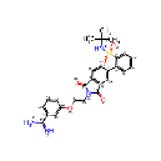 CC(C)(C)NS(=O)(=O)c1ccccc1-c1ccc2c(c1)C(=O)N(CCOc1cccc(C(=N)N)c1)C2=O